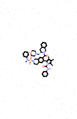 Cc1c(C)c(-c2cc3c(cc2C(=O)N2Cc4ccccc4C[C@H]2CN2CCOCC2)CN(S(=O)(=O)N(C)c2ccccc2)CC3)n(C(=O)Nc2ccccc2)c1C